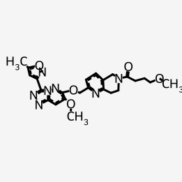 COCCCC(=O)N1CCc2nc(COc3nn4c(-c5cc(C)on5)nnc4cc3OC)ccc2C1